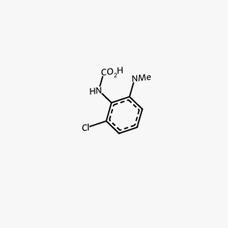 CNc1cccc(Cl)c1NC(=O)O